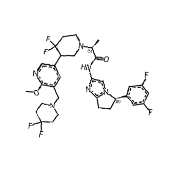 COc1ncc(C2CN([C@@H](C)C(=O)Nc3cn4c(n3)CC[C@@H]4c3cc(F)cc(F)c3)CCC2(F)F)cc1CN1CCC(F)(F)CC1